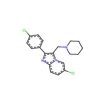 Clc1ccc(-c2nc3ccc(Cl)cn3c2CN2CCCCC2)cc1